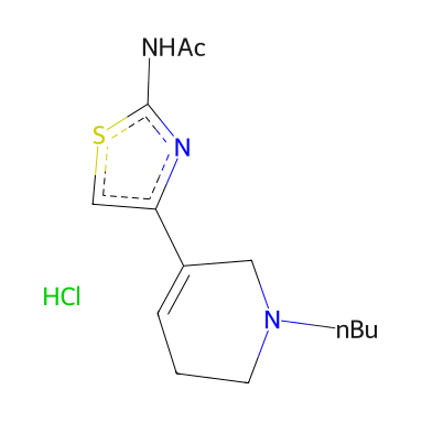 CCCCN1CCC=C(c2csc(NC(C)=O)n2)C1.Cl